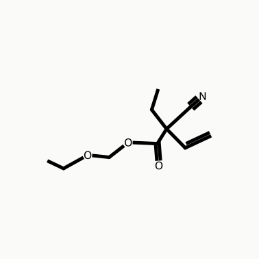 C=CC(C#N)(CC)C(=O)OCOCC